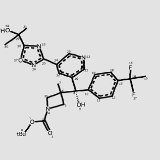 CC(C)(C)OC(=O)N1CC(C)([C@](O)(c2ccc(C(C)(F)F)cc2)c2cncc(-c3noc(C(C)(C)O)n3)c2)C1